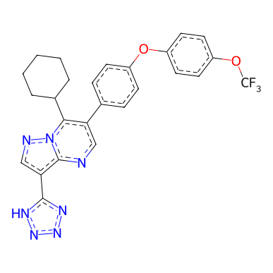 FC(F)(F)Oc1ccc(Oc2ccc(-c3cnc4c(-c5nnn[nH]5)cnn4c3C3CCCCC3)cc2)cc1